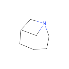 C1CCN2CC(C1)C2